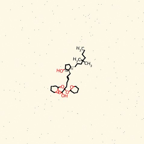 CCCCC(C)(C)CCC[C@H]1CC[C@H](O)[C@@H]1CC=CCCC(OC1CCCCO1)(OC1CCCCO1)C(=O)O